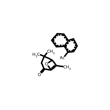 CC(=O)c1cccc2ccccc12.CC1=C2OC1C(C)(C)CC2=O